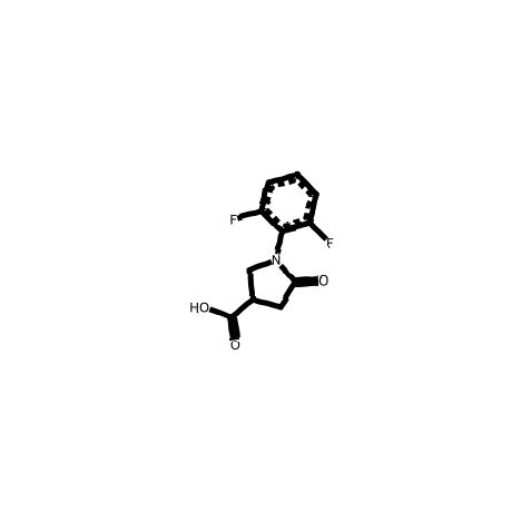 O=C(O)C1CC(=O)N(c2c(F)cccc2F)C1